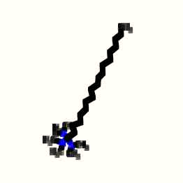 CN(C)C(CCCCCCCCCCCCCCCCC[SiH3])(N(C)C)N(C)C